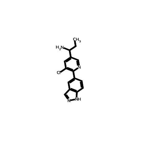 CCC(N)c1cnc(-c2ccc3[nH]ncc3c2)c(Cl)c1